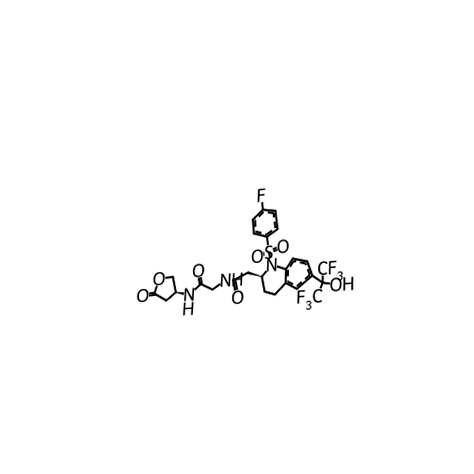 O=C(C[C@@H]1CCc2cc(C(O)(C(F)(F)F)C(F)(F)F)ccc2N1S(=O)(=O)c1ccc(F)cc1)NCC(=O)N[C@@H]1COC(=O)C1